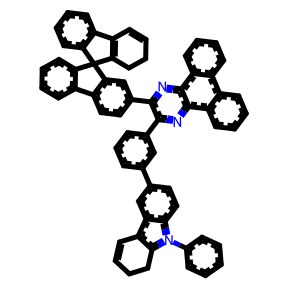 C1=CC2=C(CC1)C1(c3ccccc32)c2ccccc2-c2ccc(-c3nc4c5ccccc5c5ccccc5c4nc3-c3cccc(-c4ccc5c(c4)c4c(n5-c5ccccc5)CCC=C4)c3)cc21